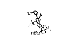 CCCCC(=O)N1CCN(c2nc(C3CC3)c(-c3cccc(CC)c3)cc2C#N)CC1C